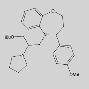 COc1ccc(C2CCOc3ccccc3N2CC(COCC(C)C)N2CCCC2)cc1